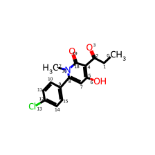 CCC(=O)c1c(O)cc(-c2ccc(Cl)cc2)n(C)c1=O